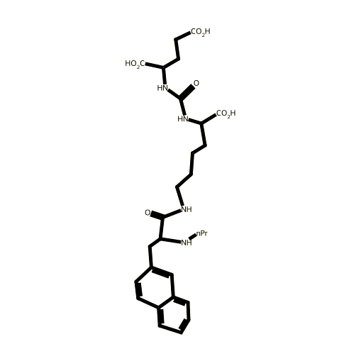 CCCNC(Cc1ccc2ccccc2c1)C(=O)NCCCCC(NC(=O)NC(CCC(=O)O)C(=O)O)C(=O)O